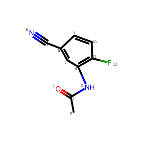 CC(=O)Nc1cc(C#N)ccc1F